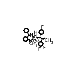 C=C[C@@H](c1ccc(F)c(F)c1)[C@H](C(=O)N[C@H]1N=C(c2ccccc2)c2ccccc2N(C)C1=O)c1ccc(F)cc1